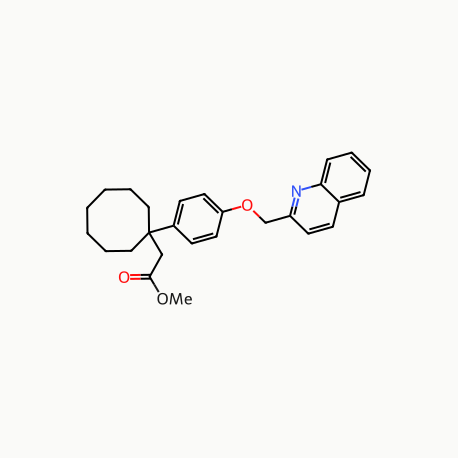 COC(=O)CC1(c2ccc(OCc3ccc4ccccc4n3)cc2)CCCCCCC1